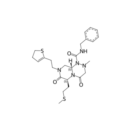 CSCC[C@H]1C(=O)N(CCC2=CCCS2)C[C@H]2N1C(=O)CN(C)N2C(=O)NCc1ccccc1